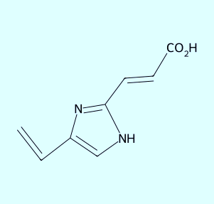 C=Cc1c[nH]c(C=CC(=O)O)n1